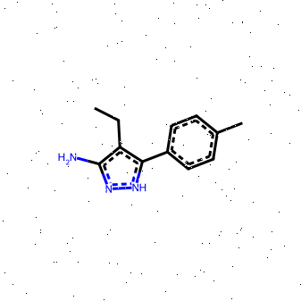 CCc1c(N)n[nH]c1-c1ccc(C)cc1